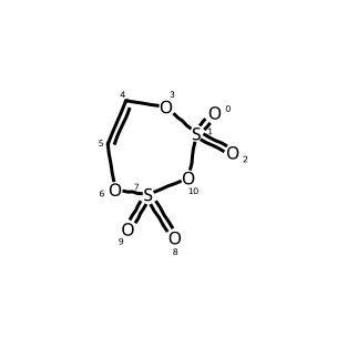 O=S1(=O)OC=COS(=O)(=O)O1